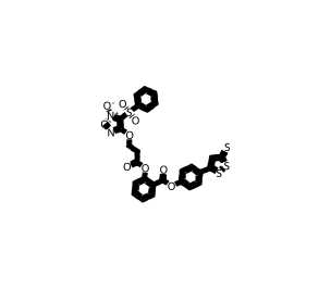 O=C(CCOc1no[n+]([O-])c1S(=O)(=O)c1ccccc1)Oc1ccccc1C(=O)Oc1ccc(-c2cc(=S)ss2)cc1